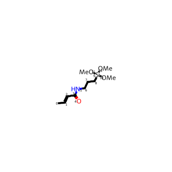 CC=CC(=O)NCCC[Si](OC)(OC)OC